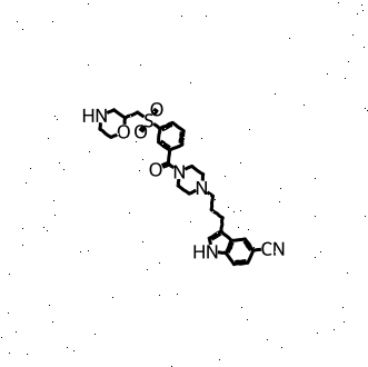 N#Cc1ccc2[nH]cc(CCCN3CCN(C(=O)c4cccc(S(=O)(=O)CC5CNCCO5)c4)CC3)c2c1